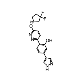 Oc1cc(-c2cn[nH]c2)ccc1-c1ccc(O[C@@H]2CCC(F)(F)C2)nn1